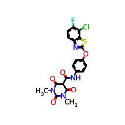 CN1C(=O)C(C(=O)Nc2ccc(Oc3nc4ccc(F)c(Cl)c4s3)cc2)C(=O)N(C)C1=O